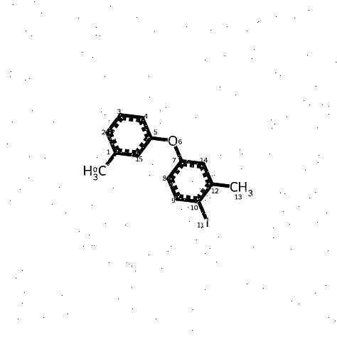 Cc1cccc(Oc2ccc(I)c(C)c2)c1